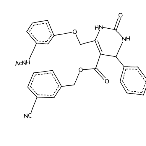 CC(=O)Nc1cccc(OCC2=C(C(=O)OCc3cccc(C#N)c3)C(c3ccccc3)NC(=O)N2)c1